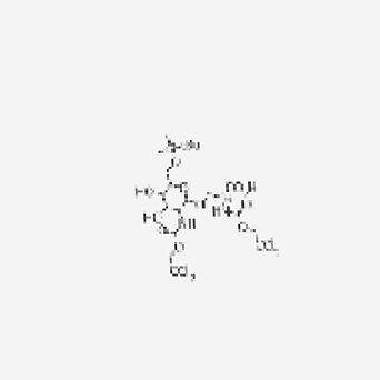 CC(C)(C)[Si](C)(C)OCC1OC(OC[C@@H](NC(=O)OCC(Cl)(Cl)Cl)C(=O)O)C(NC(=O)OCC(Cl)(Cl)Cl)C(O)C1O